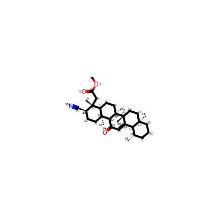 COC(=O)C[C@]1(C)C2CC[C@]3(C)C(C(=O)C=C4C5[C@@H](C)CCC[C@]5(C)CC[C@]43C)[C@@]2(C)CC[C@H]1C#N